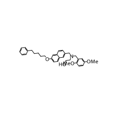 COc1ccc(OC)c(CN(CCO)Cc2ccc3cc(OCCCCCc4ccccc4)ccc3c2)c1